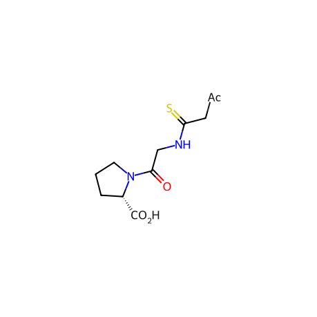 CC(=O)CC(=S)NCC(=O)N1CCC[C@H]1C(=O)O